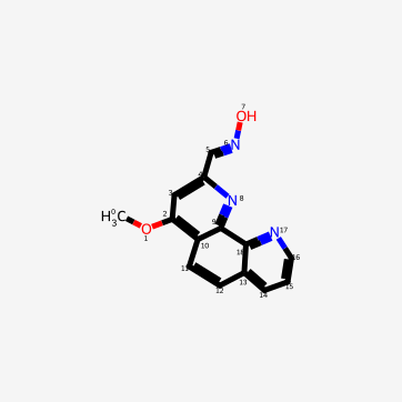 COc1cc(C=NO)nc2c1ccc1cccnc12